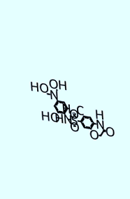 Cc1cc2c(cc1S(=O)(=O)Nc1ccc(N(CO)CO)cc1O)OCC(=O)N2